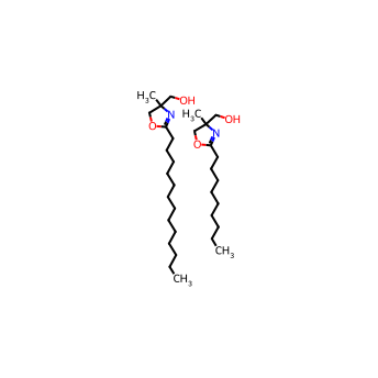 CCCCCCCCCC1=NC(C)(CO)CO1.CCCCCCCCCCCCCC1=NC(C)(CO)CO1